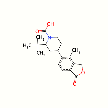 Cc1c(C2CCN(C(=O)O)C(C(C)(C)C)C2)ccc2c1COC2=O